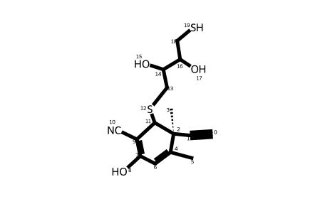 C#C[C@@]1(C)C(C)=CC(O)=C(C#N)C1SCC(O)C(O)CS